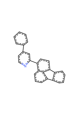 c1ccc(-c2ccnc(-c3ccc4c5c(cccc35)-c3ccccc3-4)c2)cc1